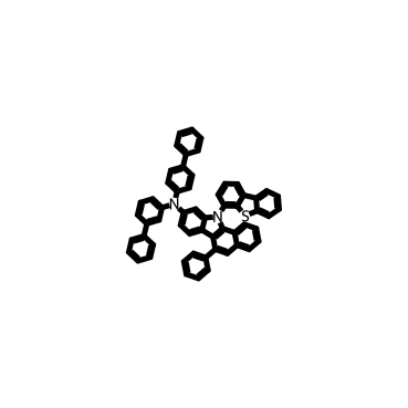 c1ccc(-c2ccc(N(c3cccc(-c4ccccc4)c3)c3ccc4c5c(-c6ccccc6)cc6ccccc6c5n(-c5cccc6c5sc5ccccc56)c4c3)cc2)cc1